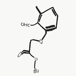 Cc1cccc(OCC(=O)OC(C)(C)C)c1C=O